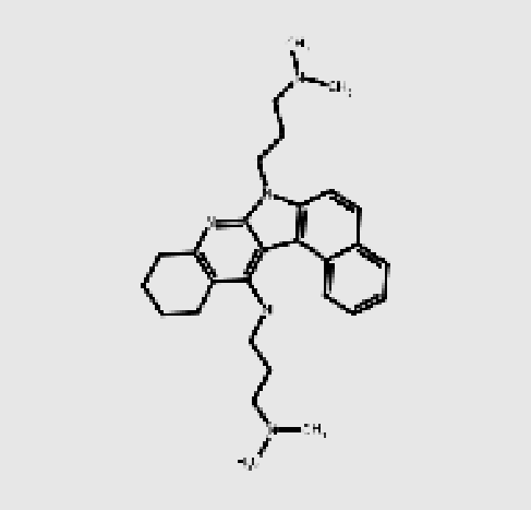 CN(C)CCCNc1c2c(nc3c1c1c4ccccc4ccc1n3CCCN(C)C)CCCC2